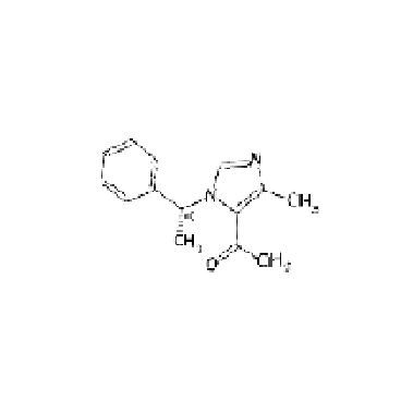 CC(=O)c1c(C)ncn1[C@H](C)c1ccccc1